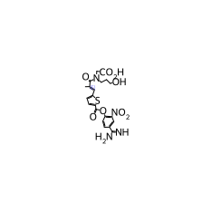 C/C(=C\c1ccc(C(=O)Oc2ccc(C(=N)N)cc2[N+](=O)[O-])s1)C(=O)N(CCCO)CC(=O)O